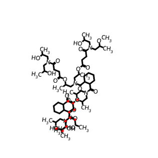 COC(C)CN(CC(C)O)C(=O)CCC(=O)OC(C)CN(CC(C)OC(=O)CCC(=O)N(CC(C)O)CC(C)O)C(=O)C1CCCCC1C(=O)N(CC(C)OCC(=O)C1CCCCC1C(=O)N(CC(C)O)CC(C)O)CC(C)OC(=O)CCC(=O)N(CC(C)O)CC(C)O